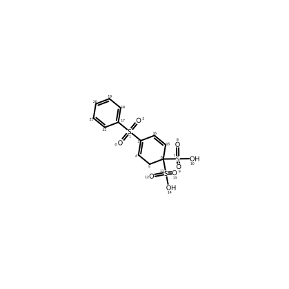 O=S(=O)(C1=CCC(S(=O)(=O)O)(S(=O)(=O)O)C=C1)c1ccccc1